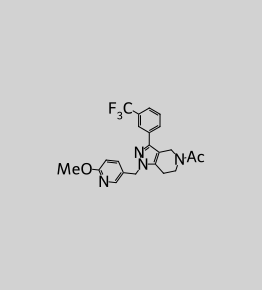 COc1ccc(Cn2nc(-c3cccc(C(F)(F)F)c3)c3c2CCN(C(C)=O)C3)cn1